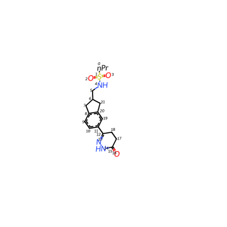 CCCS(=O)(=O)NCC1Cc2ccc(C3=NNC(=O)CC3)cc2C1